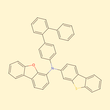 c1ccc(-c2ccccc2-c2ccc(N(c3ccc4c(c3)sc3ccccc34)c3cccc4c3oc3ccccc34)cc2)cc1